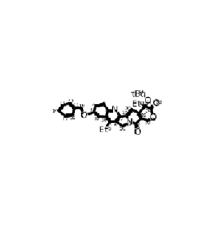 CCc1c2c(nc3ccc(OCc4ccccc4)cc13)-c1cc3c(c(=O)n1C2)COC(=O)[C@@]3(CC)OC(C)(C)C